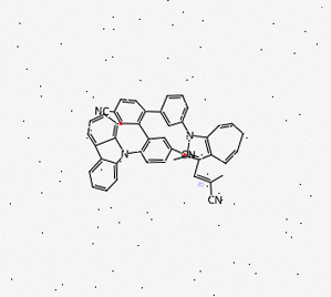 C/C(C#N)=C\c1c2c(n(-c3cccc(-c4ccc(C#N)cc4-c4cc(C#N)ccc4-n4c5ccccc5c5ccccc54)c3)c1C)C=CCC=C2